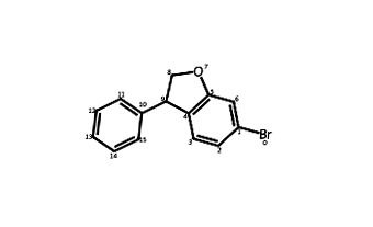 Brc1ccc2c(c1)OCC2c1ccccc1